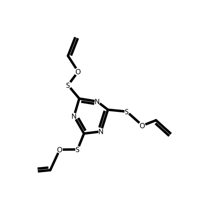 C=COSc1nc(SOC=C)nc(SOC=C)n1